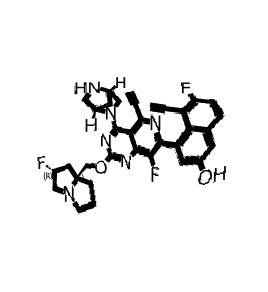 C#Cc1c(F)ccc2cc(O)cc(-c3nc(C#C)c4c(N5C[C@@H]6C[C@H]5CN6)nc(OC[C@@]56CCCN5C[C@H](F)C6)nc4c3F)c12